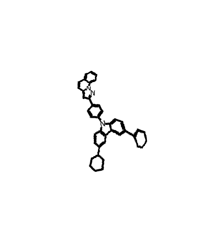 c1ccc2c(c1)ccc1cc(-c3ccc(-n4c5ccc(C6CCCCC6)cc5c5cc(C6CCCCC6)ccc54)cc3)nn12